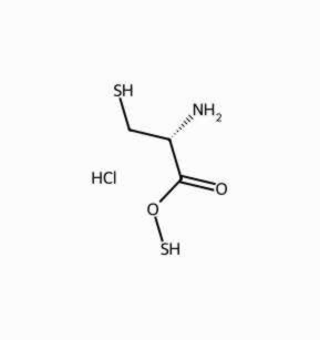 Cl.N[C@@H](CS)C(=O)OS